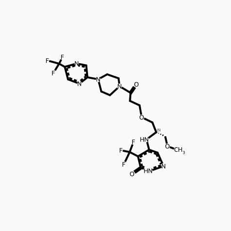 COC[C@@H](COCCC(=O)N1CCN(c2cnc(C(F)(F)F)cn2)CC1)Nc1cn[nH]c(=O)c1C(F)(F)F